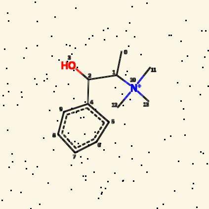 CC(C(O)c1ccccc1)[N+](C)(C)C